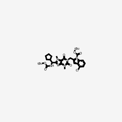 Cn1c(C(NC(=O)OC(C)(C)C)C2CCCC2)nc2c1c(=O)n(Cc1cc3c(Cl)cccc3n1C(=O)OC(C)(C)C)c(=O)n2C